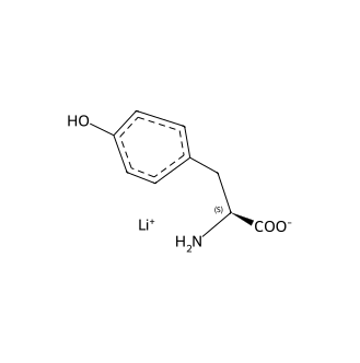 N[C@@H](Cc1ccc(O)cc1)C(=O)[O-].[Li+]